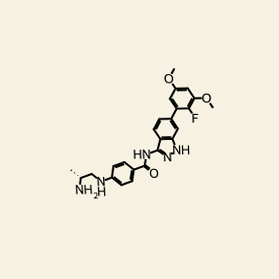 COc1cc(OC)c(F)c(-c2ccc3c(NC(=O)c4ccc(NC[C@@H](C)N)cc4)n[nH]c3c2)c1